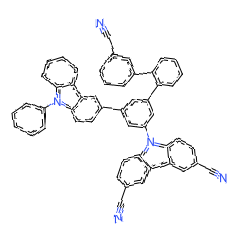 N#Cc1cccc(-c2ccccc2-c2cc(-c3ccc4c(c3)c3ccccc3n4-c3ccccc3)cc(-n3c4ccc(C#N)cc4c4cc(C#N)ccc43)c2)c1